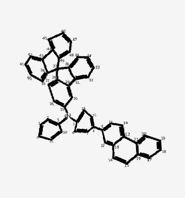 c1ccc(N(c2ccc(-c3ccc4c(ccc5ccccc54)c3)cc2)c2ccc3c(c2)-c2ccccc2C32c3ccccc3-c3ccccc32)cc1